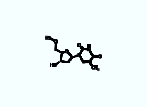 Cc1cn([C@H]2C[C@H](O)[C@@H](COS)O2)c(=O)[nH]c1=O